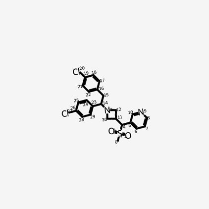 CS(=O)(=O)C(c1cccnc1)C1CN(C(Cc2ccc(Cl)cc2)c2ccc(Cl)cc2)C1